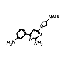 CNC1CN(c2cc(-c3cccc(N)c3)nc(N)n2)C1